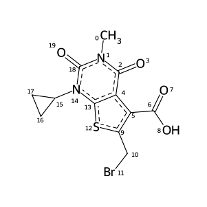 Cn1c(=O)c2c(C(=O)O)c(CBr)sc2n(C2CC2)c1=O